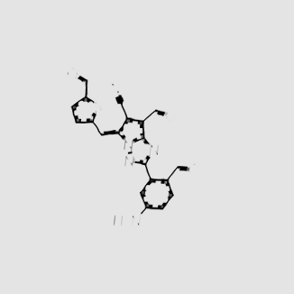 N#Cc1c(C=O)c2nc(-c3cc(N)ccc3C=O)nn2/c1=C/c1ccc(C=O)s1